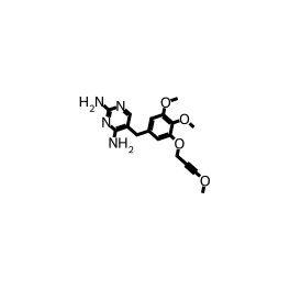 COC#CCOc1cc(Cc2cnc(N)nc2N)cc(OC)c1OC